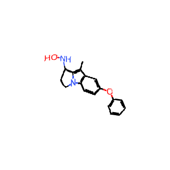 Cc1c2n(c3ccc(Oc4ccccc4)cc13)CCC2NO